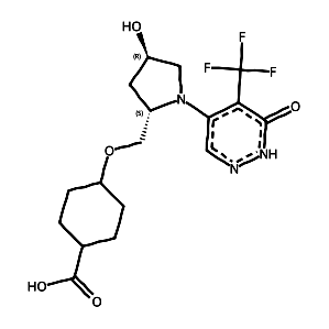 O=C(O)C1CCC(OC[C@@H]2C[C@@H](O)CN2c2cn[nH]c(=O)c2C(F)(F)F)CC1